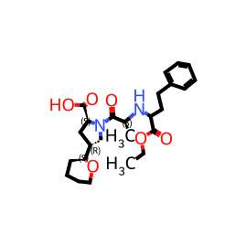 CCOC(=O)C(CCc1ccccc1)N[C@@H](C)C(=O)N1C[C@H]([C@@H]2CCCCO2)C[C@H]1C(=O)O